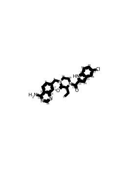 CCC1C(=O)N(Cc2ccc3c(N)ncnc3c2)CCN1C(=O)c1cc2cc(Cl)ccc2[nH]1